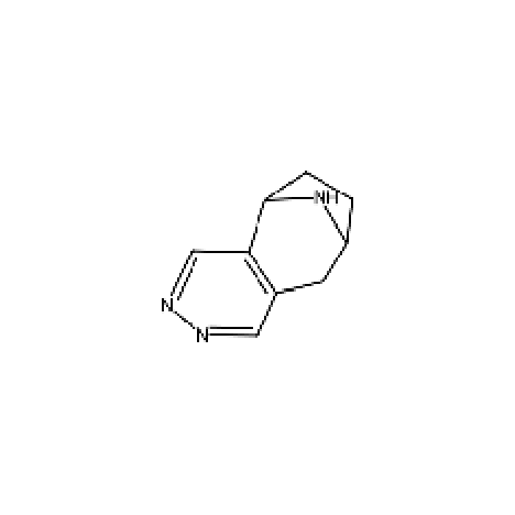 c1nncc2c1CC1CCC2N1